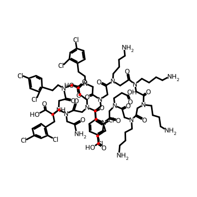 NCCCCN(CC(=O)N(CCCCN)CC(=O)N(CCCCN)CC(=O)N(CCCCN)CC(=O)N(CCC(=O)O)CC(=O)N(CCC(=O)O)CC(=O)N(CCC(=O)O)CC(=O)N(CCC(=O)O)CC(N)=O)C(=O)CN(CCc1ccc(Cl)cc1Cl)C(=O)CN(CCc1ccc(Cl)cc1Cl)C(=O)CN(CCc1ccc(Cl)cc1Cl)C(=O)CNCCc1ccc(Cl)cc1Cl